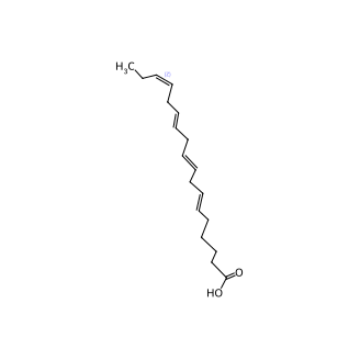 CC/C=C\CC=CCC=CCC=CCCCCC(=O)O